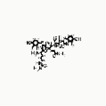 NC(=O)CC[C@H](NC(=O)[C@H](Cc1ccc(O)c(I)c1)NC(=O)[C@@H](N)CCCNC(N)=O)C(=O)N[C@@H](CS)C(=O)N[C@@H](Cc1ccc(O)cc1)C(N)=O